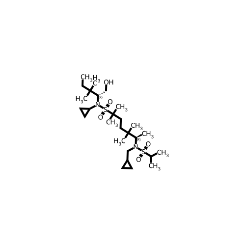 CCC(C)(C)[C@H](CO)N(C1CC1)S(=O)(=O)C(C)(C)CCC(C)(C)[C@@H](C)N(CC1CC1)S(=O)(=O)C(C)C